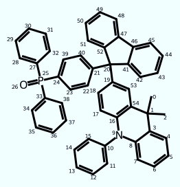 CC1(C)c2ccccc2N(c2ccccc2)c2ccc(C3(c4ccc(P(=O)(c5ccccc5)c5ccccc5)cc4)c4ccccc4-c4ccccc43)cc21